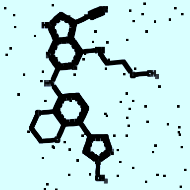 COCCNc1nc(Nc2ccc(-c3cnn(C)c3)c3c2OCCO3)nc2[nH]cc(C#N)c12